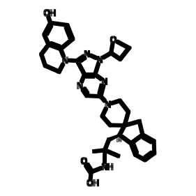 CC(C)(C[C@@H]1c2ccccc2CC12CCN(c1cnc3c(N4CCCc5cc(O)ccc54)nn(C4CCO4)c3n1)CC2)NC(=O)O